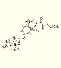 CCCNC(=O)c1c[nH]c2ccc(CCO[Si](C)(C)C(C)(C)C)cc2c1=O